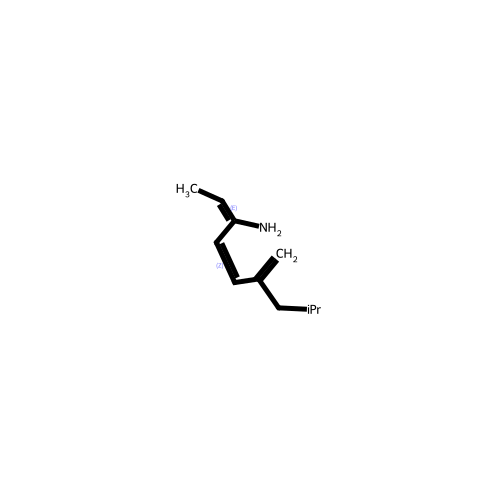 C=C(/C=C\C(N)=C/C)CC(C)C